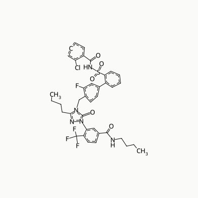 CCCCNC(=O)c1ccc(C(F)(F)F)c(-n2nc(CCCC)n(Cc3ccc(-c4ccccc4S(=O)(=O)NC(=O)c4ccccc4Cl)cc3F)c2=O)c1